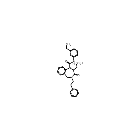 NCc1cccc(NC(=O)N2c3ccccc3CN(CCc3ccccc3)C(=O)C2CC(=O)O)c1